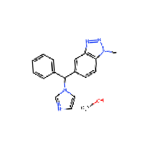 Cn1nnc2cc(C(c3ccccc3)n3ccnc3)ccc21.O=[N+]([O-])O